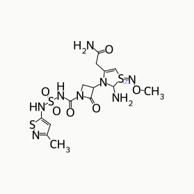 CO/N=S1/C=C(CC(N)=O)N(C2CN(C(=O)NS(=O)(=O)Nc3cc(C)ns3)C2=O)C1N